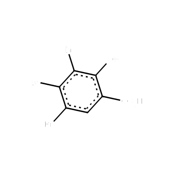 O=C(O)c1cc(Br)c(Br)c(Br)c1O